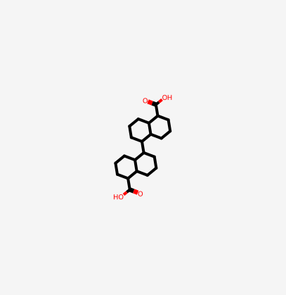 O=C(O)C1CCCC2C1CCCC2C1CCCC2C(C(=O)O)CCCC21